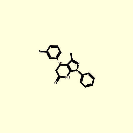 Cc1nn(-c2ccccc2)c2c1[C@@H](c1cccc(F)c1)CC(=O)N2